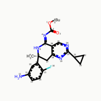 CC(C)(C)OC(=O)/N=C1/N[C@](C)(c2cc(N)ccc2F)Cc2nc(C3CC3)ncc21